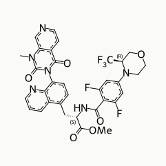 COC(=O)[C@H](Cc1ccc(-n2c(=O)c3ccncc3n(C)c2=O)c2ncccc12)NC(=O)c1c(F)cc(N2CCOC[C@@H]2C(F)(F)F)cc1F